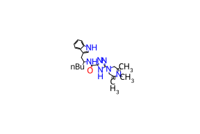 CCCCC(Cc1c[nH]c2ccccc12)NC(=O)c1nnc(N2C[C@@H](C)N(C)[C@@H](C)C2)[nH]1